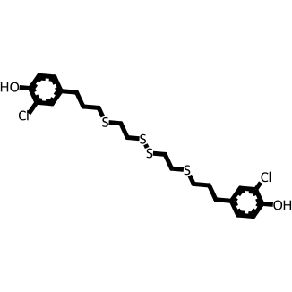 Oc1ccc(CCCSCCSSCCSCCCc2ccc(O)c(Cl)c2)cc1Cl